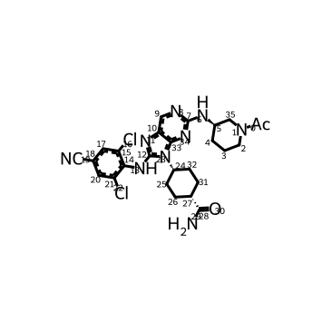 CC(=O)N1CCC[C@@H](Nc2ncc3nc(Nc4c(Cl)cc(C#N)cc4Cl)n([C@H]4CC[C@@H](C(N)=O)CC4)c3n2)C1